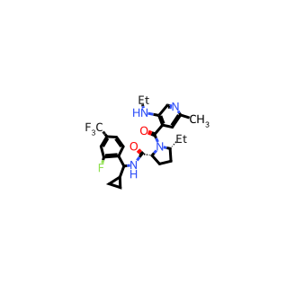 CCNc1cnc(C)cc1C(=O)N1[C@H](CC)CC[C@@H]1C(=O)NC(c1ccc(C(F)(F)F)cc1F)C1CC1